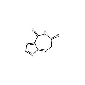 O=C1CN=C2N=CN=C2C(=O)N1